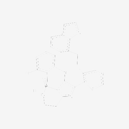 COc1c(Cl)cccc1Nc1c(-c2ccncc2OCc2cccn3ccnc23)[nH]c2c1C(=O)NCC2